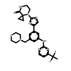 O=C1NCCN(c2ncc(-c3cc(CN4CCOCC4)cc(Nc4nccc(C(F)(F)F)n4)c3)o2)C12CC2